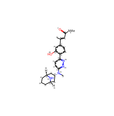 CNC(=O)/C=C(\C)c1ccc(-c2ccc(N(C)[C@H]3C[C@H]4CCC[C@@H](C3)N4)nn2)c(O)c1